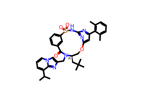 Cc1cccc(C)c1-c1cc2nc(n1)NS(=O)(=O)c1cccc(c1)C(=O)N(Cc1cn3cccc(C(C)C)c3n1)[C@H](CC(C)(C)C)CO2